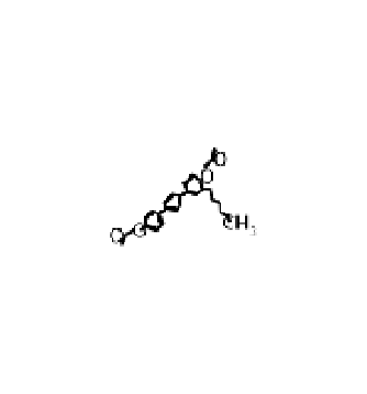 CCCCCCc1cc(-c2ccc(-c3ccc(OCC4CO4)cc3)cc2)ccc1OCC1CO1